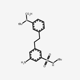 CC(C)(C)NS(=O)(=O)c1cc(N)cc(CCc2cccc(N(C(=O)O)C(C)(C)C)c2)c1